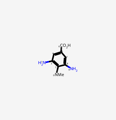 CNc1c(N)cc(C(=O)O)cc1N